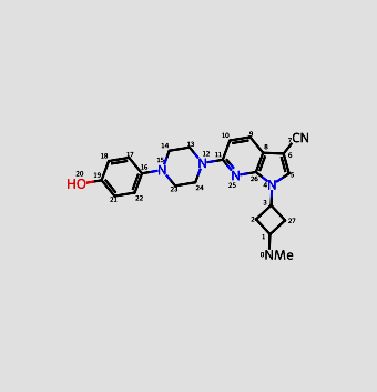 CNC1CC(n2cc(C#N)c3ccc(N4CCN(c5ccc(O)cc5)CC4)nc32)C1